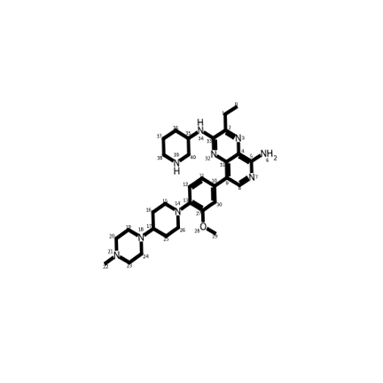 CCc1nc2c(N)ncc(-c3ccc(N4CCC(N5CCN(C)CC5)CC4)c(OC)c3)c2nc1NC1CCCNC1